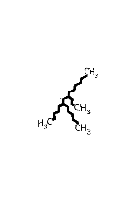 CCCCCCCC([CH]C(CCCCC)CCCCCC)CCC